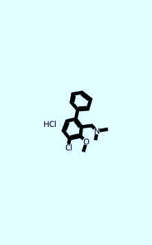 COc1c(Cl)ccc(-c2ccccc2)c1CN(C)C.Cl